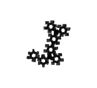 c1ccc(-c2cccc(-n3c4ccccc4c4cc(-c5ccc(N(c6ccccc6)c6ccccc6)cc5)ccc43)c2)cc1